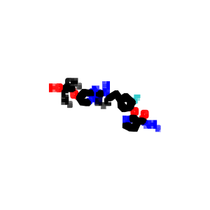 C=C(Cc1ccc(Oc2ncccc2C(N)=O)c(F)c1)Nc1nc2cc(OCC(C)(C)O)ccn2n1